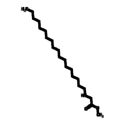 CCCCCCCCCCCCCCCCCCNCC(=O)OC